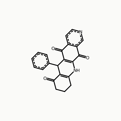 O=C1CCCC2=C1C(c1ccccc1)C1=C(N2)C(=O)c2cnccc2C1=O